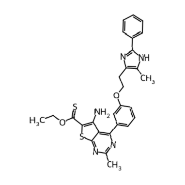 CCOC(=S)c1sc2nc(C)nc(-c3cccc(OCCc4nc(-c5ccccc5)[nH]c4C)c3)c2c1N